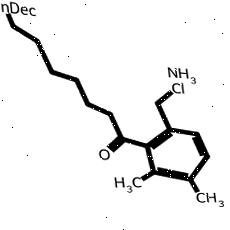 CCCCCCCCCCCCCCCCC(=O)c1c(CCl)ccc(C)c1C.N